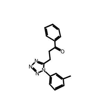 Cc1cccc(-n2nnnc2CCC(=O)c2ccccc2)c1